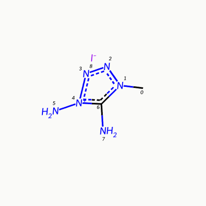 Cn1nn[n+](N)c1N.[I-]